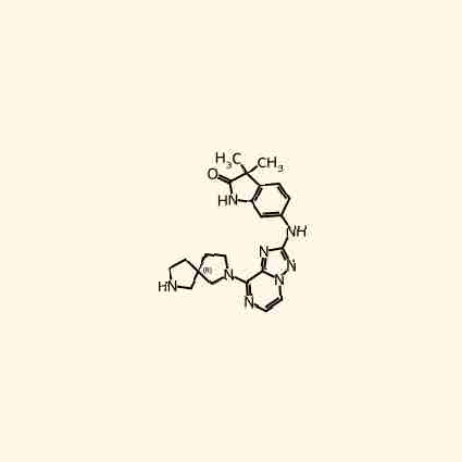 CC1(C)C(=O)Nc2cc(Nc3nc4c(N5CC[C@@]6(CCNC6)C5)nccn4n3)ccc21